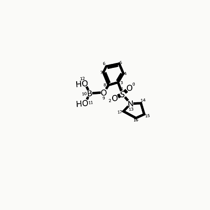 O=S(=O)(c1ccccc1OB(O)O)N1CCCC1